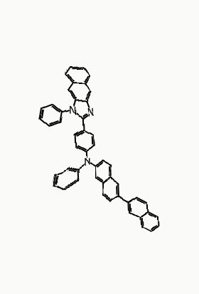 c1ccc(N(c2ccc(-c3nc4cc5ccccc5cc4n3-c3ccccc3)cc2)c2ccc3cc(-c4ccc5ccccc5c4)ccc3c2)cc1